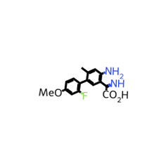 COc1ccc(-c2cc(C(=N)C(=O)O)c(N)cc2C)c(F)c1